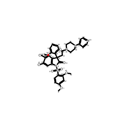 COc1ccc(S(=O)(=O)N2C(=O)C(CC(=O)N3CCN(c4ccncc4)CC3)(c3ccccc3OC)c3cc(Cl)c(Cl)cc32)c(OC)c1